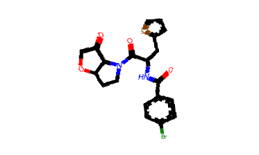 O=C(NC(Cc1cccs1)C(=O)N1CCC2OCC(=O)C21)c1ccc(Br)cc1